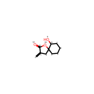 C=C1CC2(CCCCC2O)OC1=O